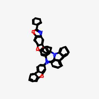 c1ccc(-c2nc3cc4c(cc3o2)oc2cc(N(c3ccc5c(c3)oc3ccccc35)c3cccc5c6ccccc6n(-c6ccccc6)c35)ccc24)cc1